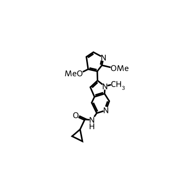 COc1ccnc(OC)c1-c1cc2cc(NC(=O)C3CC3)ncc2n1C